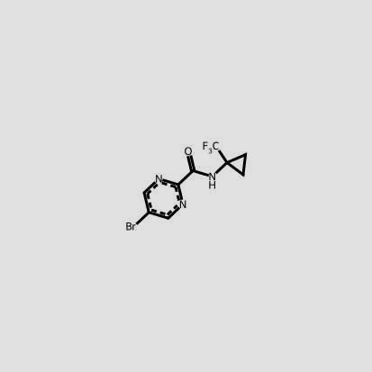 O=C(NC1(C(F)(F)F)CC1)c1ncc(Br)cn1